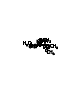 C=CC(=O)N1CCC(n2cc(-c3cc4cc(C)cc(OC)c4s3)c3c(NC)ncnc32)C1